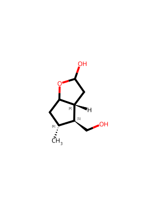 C[C@@H]1CC2OC(O)C[C@@H]2[C@H]1CO